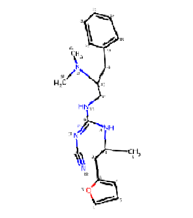 CC(Cc1ccco1)N/C(=N\C#N)NCC(Cc1ccccc1)N(C)C